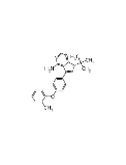 Cc1ccccc1Oc1ccc(-c2cn(C(C)(C)C)c3ncnc(N)c23)cc1